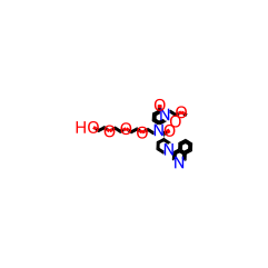 COC(=O)Cn1cc(N(CCOCCOCCOCCO)C(=O)[C@H]2CCCN(c3cncc4ccccc34)C2)ccc1=O